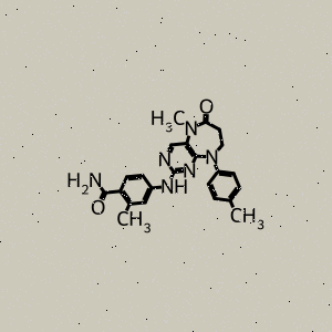 Cc1ccc(N2CCC(=O)N(C)c3cnc(Nc4ccc(C(N)=O)c(C)c4)nc32)cc1